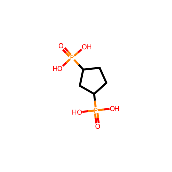 O=P(O)(O)C1CCC(P(=O)(O)O)C1